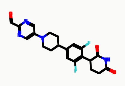 O=Cc1ncc(N2CCC(c3cc(F)c(C4CCC(=O)NC4=O)c(F)c3)CC2)cn1